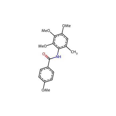 COc1ccc(C(=O)Nc2c(C)cc(OC)c(OC)c2OC)cc1